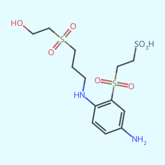 Nc1ccc(NCCCS(=O)(=O)CCO)c(S(=O)(=O)CCS(=O)(=O)O)c1